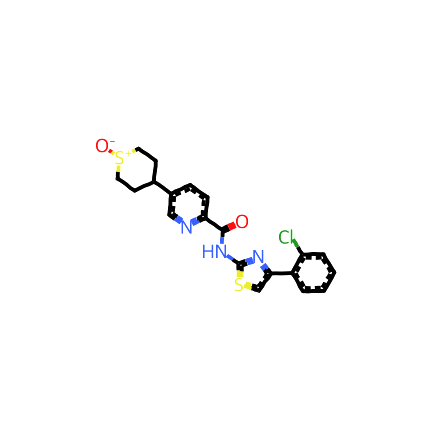 O=C(Nc1nc(-c2ccccc2Cl)cs1)c1ccc(C2CC[S+]([O-])CC2)cn1